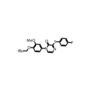 COc1cc(-n2ccnc(Sc3ccc(F)cc3)c2=O)ccc1OCC(C)(C)C